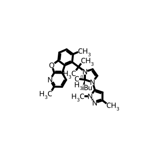 CCC(C)[C@]1(C)N(c2cc(C)nn2C)C=CN1C(C)(C)c1c(C)ccc2oc3nc(C)ccc3c12